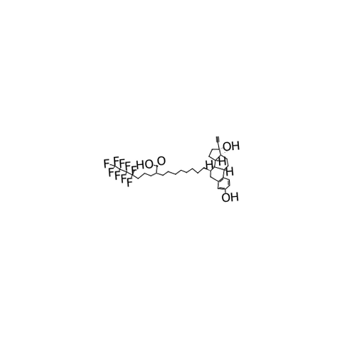 C#C[C@]1(O)CC[C@H]2[C@@H]3[C@H](CCCCCCCCC(CCCC(F)(F)C(F)(F)C(F)(F)C(F)(F)F)C(=O)O)Cc4cc(O)ccc4[C@H]3CC[C@@]21C